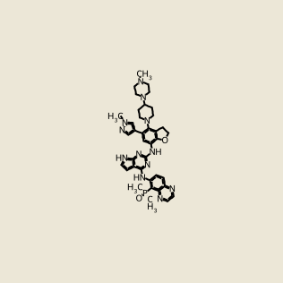 CN1CCN(C2CCN(c3c(-c4cnn(C)c4)cc(Nc4nc(Nc5ccc6nccnc6c5P(C)(C)=O)c5cc[nH]c5n4)c4c3CCO4)CC2)CC1